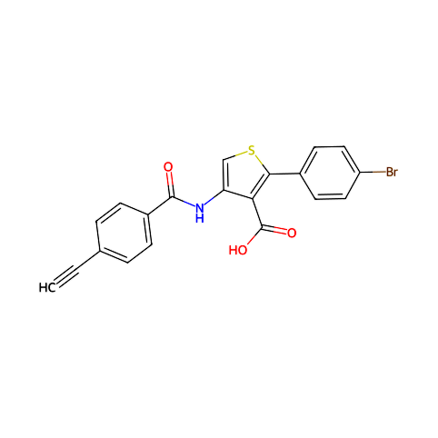 C#Cc1ccc(C(=O)Nc2csc(-c3ccc(Br)cc3)c2C(=O)O)cc1